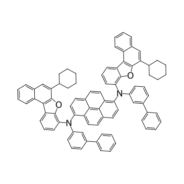 c1ccc(-c2cccc(N(c3ccc4ccc5c(N(c6cccc(-c7ccccc7)c6)c6cccc7c6oc6c(C8CCCCC8)cc8ccccc8c67)ccc6ccc3c4c65)c3cccc4c3oc3c(C5CCCCC5)cc5ccccc5c34)c2)cc1